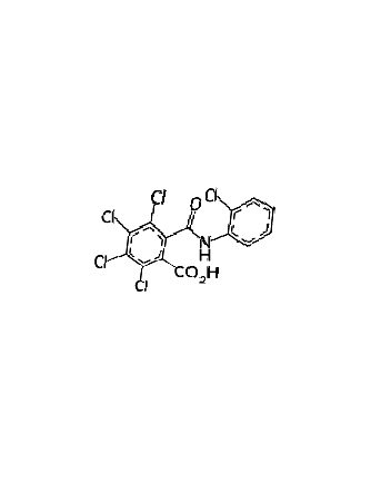 O=C(O)c1c(Cl)c(Cl)c(Cl)c(Cl)c1C(=O)Nc1ccccc1Cl